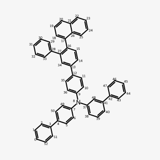 c1ccc(-c2ccc(N(c3ccc(-c4ccc(-c5cccc6ccccc56)c(-c5ccccc5)c4)cc3)c3cccc(-c4ccccc4)c3)cc2)cc1